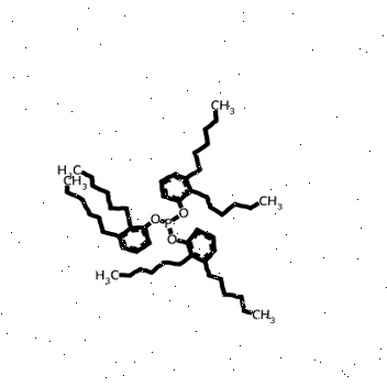 CCCCCCc1cccc(OP(Oc2cccc(CCCCCC)c2CCCCCC)Oc2cccc(CCCCCC)c2CCCCCC)c1CCCCCC